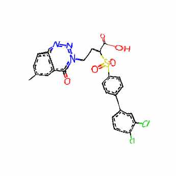 Cc1ccc2nnn(CCC(C(=O)O)S(=O)(=O)c3ccc(-c4ccc(Cl)c(Cl)c4)cc3)c(=O)c2c1